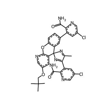 CC1=NC2(N=C1c1cc(Cl)cnc1C(N)=O)c1cc(-c3cc(Cl)cnc3C(N)=O)ccc1Oc1ncc(OCC(C)(C)C)cc12